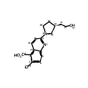 O=C(O)c1c(Cl)ccc2nc(N3CC[C@@H](CCO)C3)ccc12